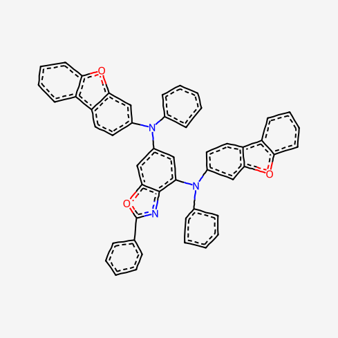 c1ccc(-c2nc3c(N(c4ccccc4)c4ccc5c(c4)oc4ccccc45)cc(N(c4ccccc4)c4ccc5c(c4)oc4ccccc45)cc3o2)cc1